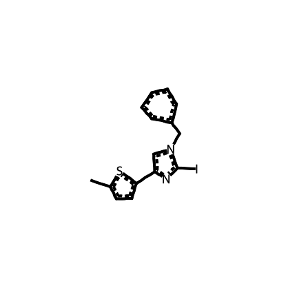 Cc1ccc(-c2cn(Cc3ccccc3)c(I)n2)s1